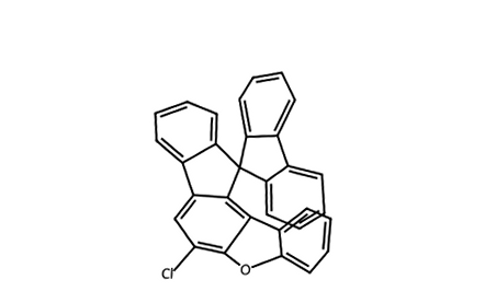 Clc1cc2c(c3c1oc1ccccc13)C1(c3ccccc3-c3ccccc31)c1ccccc1-2